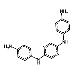 Nc1ccc(Nc2cnc(Nc3ccc(N)cc3)cn2)cc1